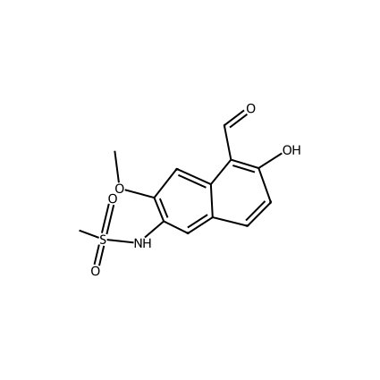 COc1cc2c(C=O)c(O)ccc2cc1NS(C)(=O)=O